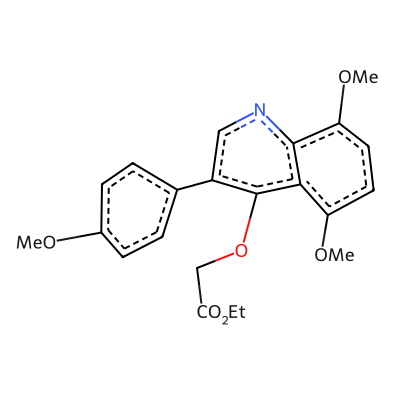 CCOC(=O)COc1c(-c2ccc(OC)cc2)cnc2c(OC)ccc(OC)c12